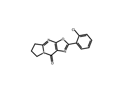 O=c1c2nc(-c3ccccc3Cl)oc2nc2n1CCC2